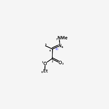 CCOC(=O)/C(C)=N/NC